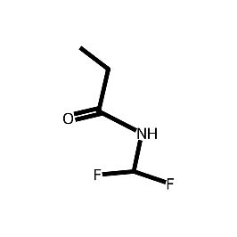 CCC(=O)NC(F)F